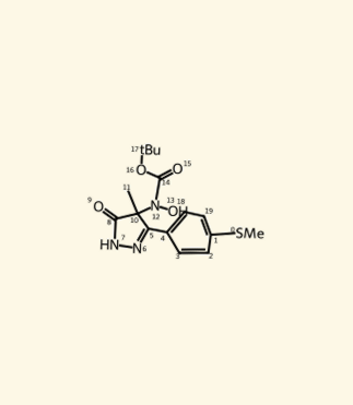 CSc1ccc(C2=NNC(=O)C2(C)N(O)C(=O)OC(C)(C)C)cc1